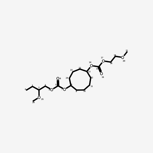 CCC(COC(=O)OC1CCCCC(OC(=O)OCCOC)CCC1)OC